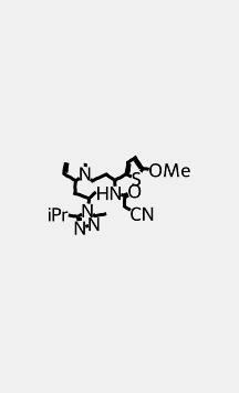 C=CC(CC(C)n1c(C)nnc1C(C)C)N(C)CCC(NC(=O)CC#N)c1ccc(OC)s1